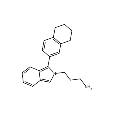 NCCCn1cc2ccccc2c1-c1ccc2c(c1)CCCC2